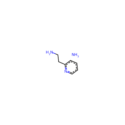 N.NCCc1ccccn1